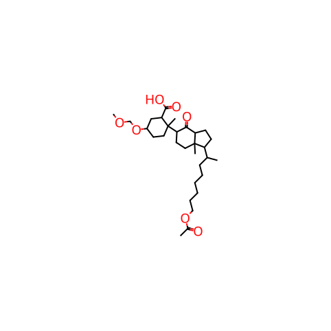 COCOC1CCC(C)(C2CCC3(C)C(CCC3C(C)CCCCCCOC(C)=O)C2=O)C(C(=O)O)C1